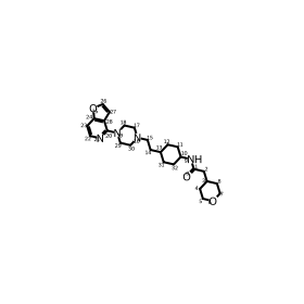 O=C(CC1CCOCC1)NC1CCC(CCN2CCN(c3nccc4occc34)CC2)CC1